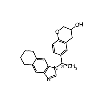 C[C@H](c1ccc2c(c1)CC(O)CO2)n1cnc2cc3c(cc21)CCCC3